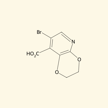 O=C(O)c1c(Br)cnc2c1OCCO2